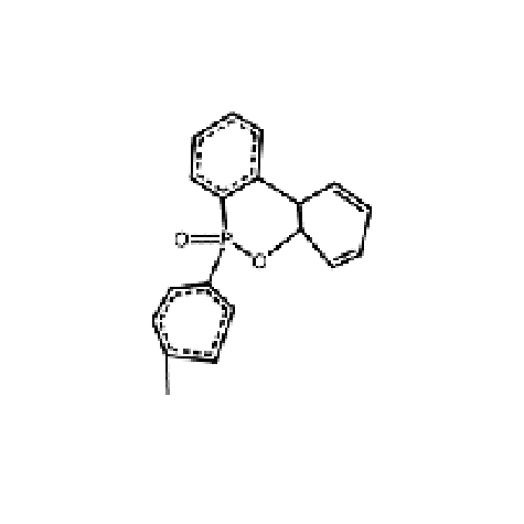 Cc1ccc(P2(=O)OC3C=CC=CC3c3ccccc32)cc1